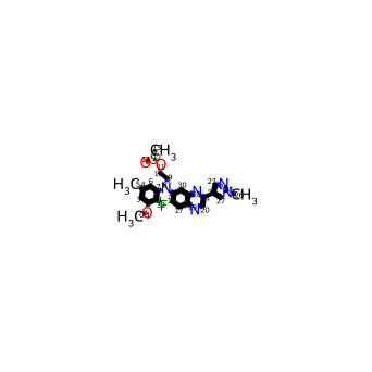 COc1cc(C)cc(N(CCOS(C)=O)c2ccc3ncc(-c4cnn(C)c4)nc3c2)c1F